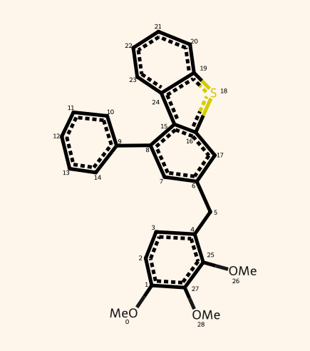 COc1ccc(Cc2cc(-c3ccccc3)c3c(c2)sc2ccccc23)c(OC)c1OC